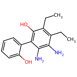 CCc1c(N)c(N)c(-c2ccccc2O)c(O)c1CC